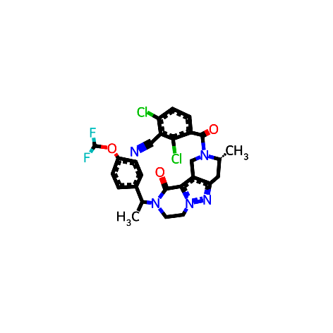 CC(c1ccc(OC(F)F)cc1)N1CCn2nc3c(c2C1=O)CN(C(=O)c1ccc(Cl)c(C#N)c1Cl)[C@H](C)C3